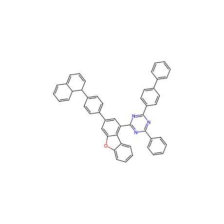 C1=CC2=CC=CC(c3ccc(-c4cc(-c5nc(-c6ccccc6)nc(-c6ccc(-c7ccccc7)cc6)n5)c5c(c4)oc4ccccc45)cc3)C2C=C1